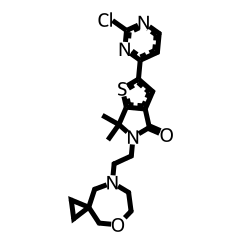 CC1(C)c2sc(-c3ccnc(Cl)n3)cc2C(=O)N1CCN1CCOCC2(CC2)C1